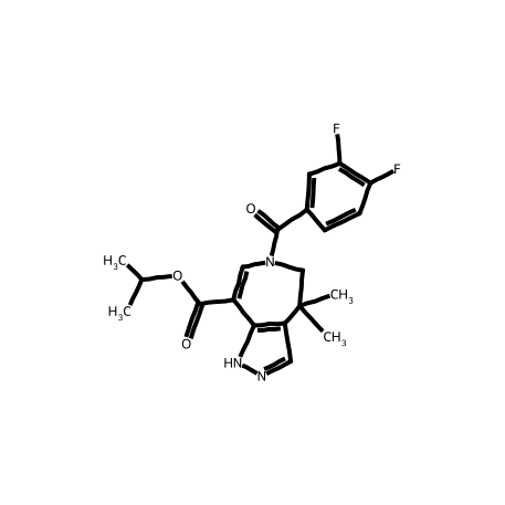 CC(C)OC(=O)C1=CN(C(=O)c2ccc(F)c(F)c2)CC(C)(C)c2cn[nH]c21